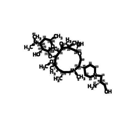 CO[C@]1(C)C[C@@H](C)CN(C)[C@@H](C2CCN(C[C@@H](N)CO)CC2)CO[C@@H](O)C(C)(C)C(=O)[C@H](C)[C@H]1O[C@@H]1O[C@H](C)C[C@H](N(C)C)[C@H]1O